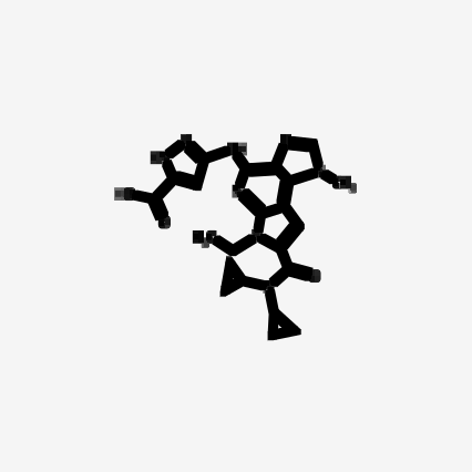 CCn1c(C(=O)N(C2CC2)C2CC2)cc2c3c(ncn3C)c(Nc3cc(C(=O)O)[nH]n3)nc21